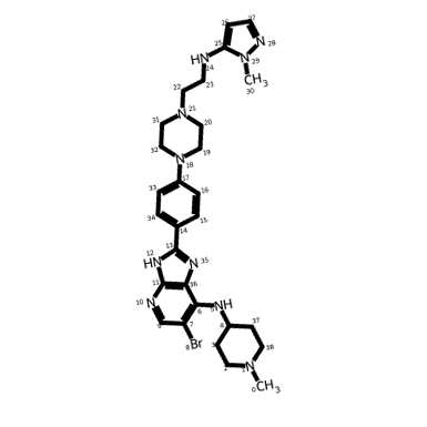 CN1CCC(Nc2c(Br)cnc3[nH]c(-c4ccc(N5CCN(CCNc6ccnn6C)CC5)cc4)nc23)CC1